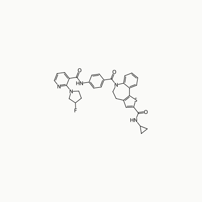 O=C(NC1CC1)c1cc2c(s1)-c1ccccc1N(C(=O)c1ccc(NC(=O)c3cccnc3N3CCC(F)C3)cc1)CC2